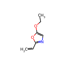 C=Cc1ncc(OCC)o1